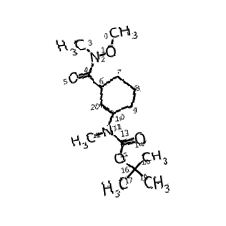 CON(C)C(=O)C1CCCC(N(C)C(=O)OC(C)(C)C)C1